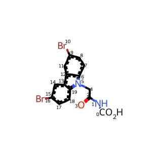 O=C(O)NC(=O)Cn1c2ccc(Br)cc2c2cc(Br)ccc21